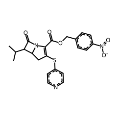 CC(C)C1C(=O)N2C(C(=O)OCc3ccc([N+](=O)[O-])cc3)=C(Sc3ccncc3)CC12